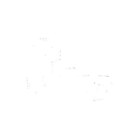 Cc1cc2c(cc1Cl)-c1c(c(C(=O)NCC34CC5CC(CC(C5)C3)C4)nn1-c1ccc(Cl)cc1Cl)C2